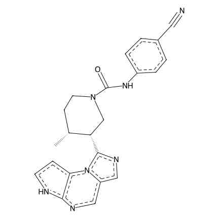 C[C@@H]1CCN(C(=O)Nc2ccc(C#N)cc2)C[C@@H]1c1ncc2cnc3[nH]ccc3n12